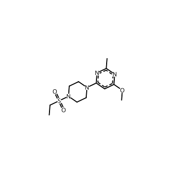 CCS(=O)(=O)N1CCN(c2cc(OC)nc(C)n2)CC1